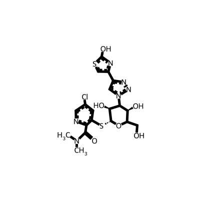 CN(C)C(=O)c1ncc(Cl)cc1S[C@H]1OC(CO)[C@H](O)C(n2cc(-c3csc(O)n3)nn2)[C@@H]1O